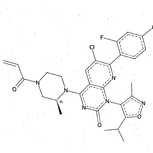 C=CC(=O)N1CCN(c2nc(=O)n(-c3c(C)noc3C(C)C)c3nc(-c4ccc(F)cc4F)c(Cl)cc23)[C@@H](C)C1